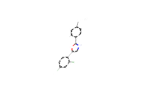 O=C(O)c1ccc(-c2ncc(-c3ccc(F)cc3F)o2)cc1